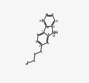 FCCCc1ccc2c(c1)[nH]c1cccnc12